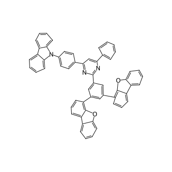 c1ccc(-c2cc(-c3ccc(-n4c5ccccc5c5ccccc54)cc3)nc(-c3cc(-c4cccc5c4oc4ccccc45)cc(-c4cccc5c4oc4ccccc45)c3)n2)cc1